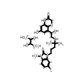 Cn1c(=O)n(CCCC(C)(C)NC[C@H](O)c2cc(O)cc3c2OCC(=O)N3)c2cc(F)ccc21.O=C(O)C(O)C(O)C(=O)O